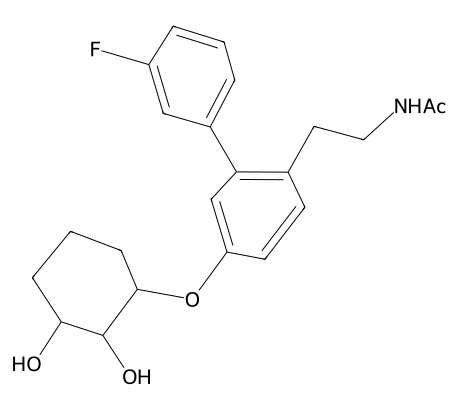 CC(=O)NCCc1ccc(OC2CCCC(O)C2O)cc1-c1cccc(F)c1